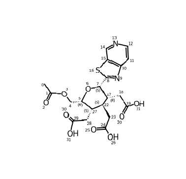 CC(=O)OC[C@@H]1O[C@H](c2nc3ccncc3s2)[C@H](CC(=O)O)[C@@H](CC(=O)O)[C@@H]1CC(=O)O